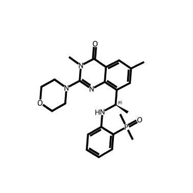 Cc1cc([C@@H](C)Nc2ccccc2P(C)(C)=O)c2nc(N3CCOCC3)n(C)c(=O)c2c1